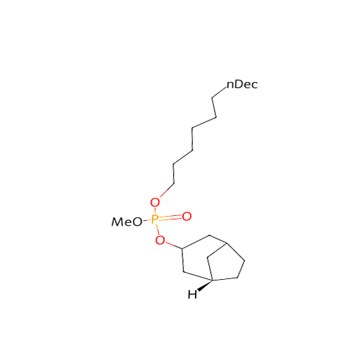 CCCCCCCCCCCCCCCCOP(=O)(OC)OC1CC2CC[C@@H](C2)C1